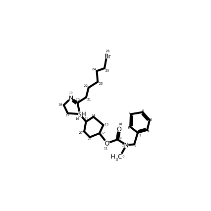 CN(Cc1ccccc1)C(=O)OC1CCC([SH]2CCN=C2CCCCCBr)CC1